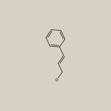 [O]CC=Cc1ccccc1